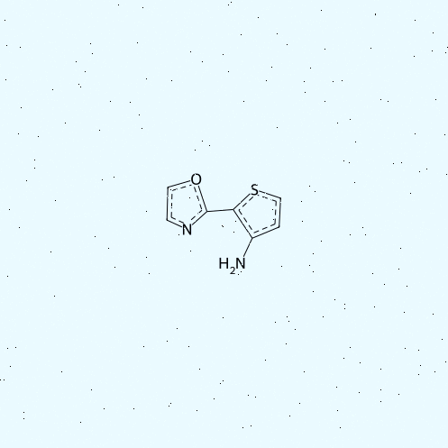 Nc1ccsc1-c1ncco1